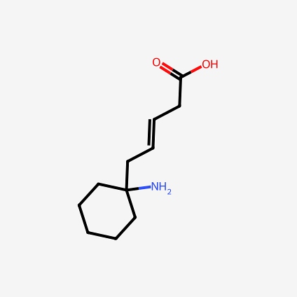 NC1(C/C=C/CC(=O)O)CCCCC1